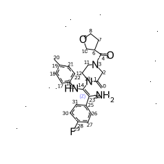 C=C1CN(C(=O)C2CCOC2)CCN1/C(Nc1ccc(C)cc1)=C(\N)c1ccc(F)cc1